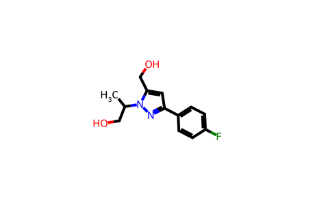 CC(CO)n1nc(-c2ccc(F)cc2)cc1CO